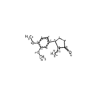 COc1ccc(C2CCC(=O)N2C)cc1OC